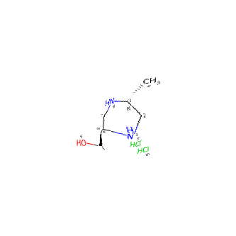 C[C@@H]1CN[C@@H](CO)CN1.Cl.Cl